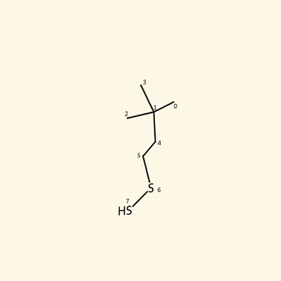 CC(C)(C)CCSS